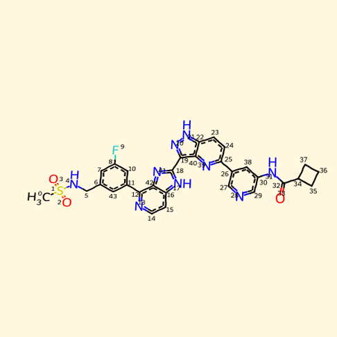 CS(=O)(=O)NCc1cc(F)cc(-c2nccc3[nH]c(-c4n[nH]c5ccc(-c6cncc(NC(=O)C7CCC7)c6)nc45)nc23)c1